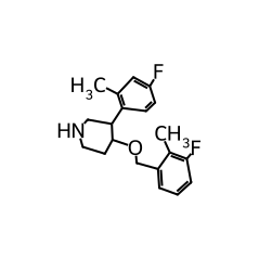 Cc1cc(F)ccc1C1CNCCC1OCc1cccc(F)c1C